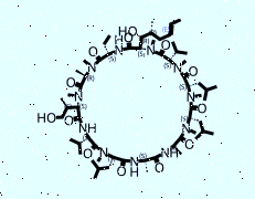 C/C=C/C[C@@H](C)[C@@H](O)[C@H]1C(=O)N[C@@H](CC)C(=O)N(C)[C@H](C)C(=O)N(C)[C@@H]([C@H](C)CO)C(=O)N[C@@H](C(C)C)C(=O)N(C)[C@@H](CC(C)C)C(=O)N[C@@H](C)C(=O)N[C@H](C)C(=O)N(C)[C@@H](CC(C)C)C(=O)N(C)[C@@H](CC(C)C)C(=O)N(C)[C@@H](C(C)C)C(=O)N1C